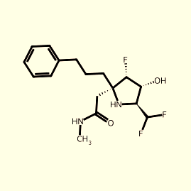 CNC(=O)C[C@@]1(CCCc2ccccc2)N[C@H](C(F)F)[C@@H](O)[C@H]1F